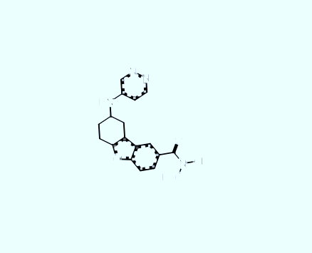 CN(C)C(=O)c1ccc2oc3c(c2c1)CC(Nc1ccnnc1)CC3